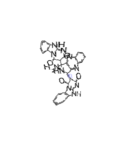 NC1(C2C(=O)N=C3Nc4ccccc4N3C2=O)N/C(=C2/C(=O)N=C3Nc4ccccc4N3C2=O)c2nc3ccccc3nc21